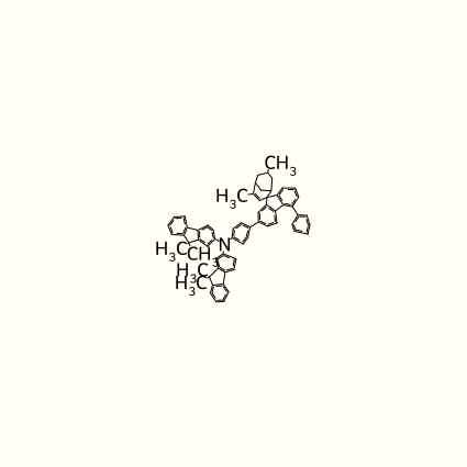 CC1=CC2(c3cc(-c4ccc(N(c5ccc6c(c5)C(C)(C)c5ccccc5-6)c5ccc6c(c5)C(C)(C)c5ccccc5-6)cc4)ccc3-c3c(-c4ccccc4)cccc32)C2CC(C)CC1C2